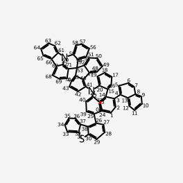 c1ccc(-c2cccc3ccccc23)c(-c2ccccc2N(c2ccc(-c3cccc4sc5ccccc5c34)cc2)c2cccc3c2-c2ccccc2C32c3ccccc3-n3c4ccccc4c4cccc2c43)c1